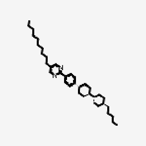 CCCCCCCCCCc1cnc(-c2ccc([C@H]3CC[C@H]([C@H]4CC[C@H](CCCCC)CC4)CC3)cc2)nc1